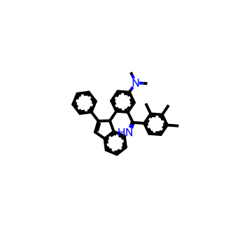 Cc1ccc(C(=N)c2cc(N(C)C)ccc2C2C(c3ccccc3)=Cc3ccccc32)c(C)c1C